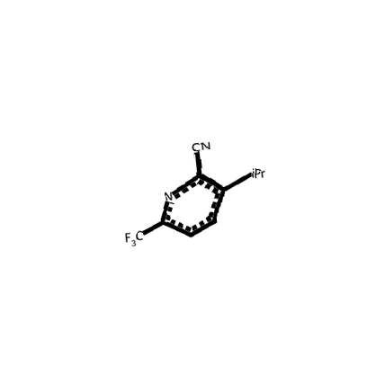 CC(C)c1ccc(C(F)(F)F)nc1C#N